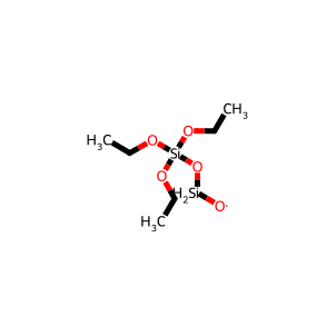 CCO[Si](OCC)(OCC)O[SiH2][O]